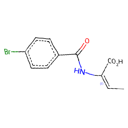 C/C=C(/NC(=O)c1ccc(Br)cc1)C(=O)O